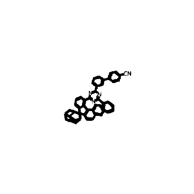 N#Cc1ccc(-c2cccc(-c3nc(-c4ccccc4)nc(-c4cccc5c4-c4c(ccc6ccccc46)C54C5CC6CC(C5)CC4C6)n3)c2)cc1